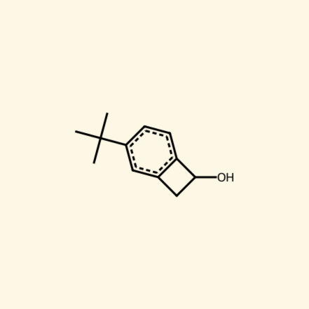 CC(C)(C)c1ccc2c(c1)CC2O